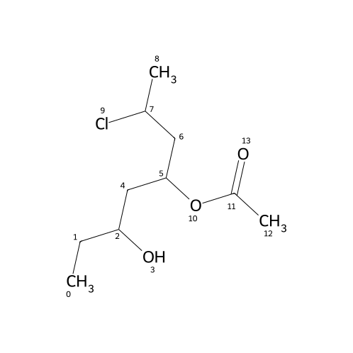 CCC(O)CC(CC(C)Cl)OC(C)=O